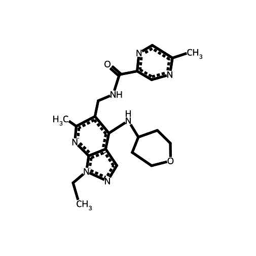 CCn1ncc2c(NC3CCOCC3)c(CNC(=O)c3cnc(C)cn3)c(C)nc21